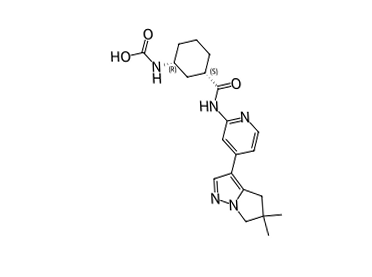 CC1(C)Cc2c(-c3ccnc(NC(=O)[C@H]4CCC[C@@H](NC(=O)O)C4)c3)cnn2C1